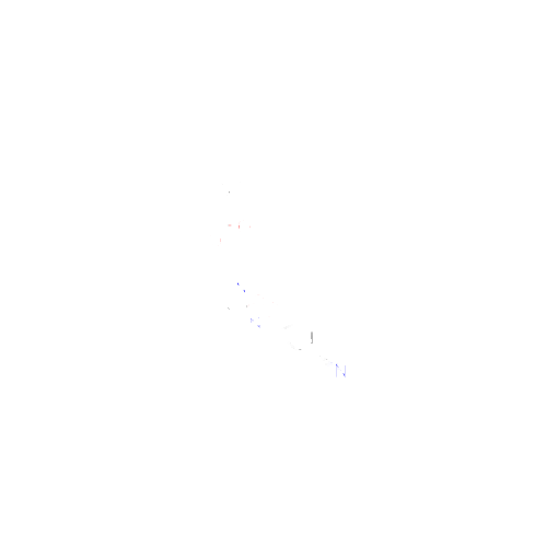 CC(C)(C)CC(=O)OC1CCN(C(=O)[C@@]2(C)CCCN2C(=O)c2ccc(C#N)cc2)CC1